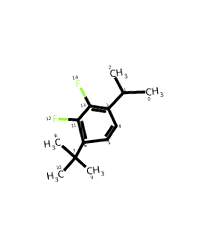 CC(C)c1ccc(C(C)(C)C)c(F)c1F